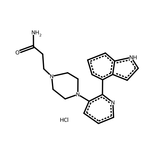 Cl.NC(=O)CCN1CCN(c2cccnc2-c2cccc3[nH]ccc23)CC1